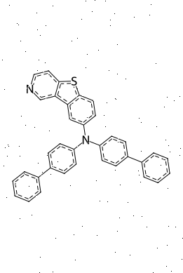 c1ccc(-c2ccc(N(c3ccc(-c4ccccc4)cc3)c3ccc4sc5ccncc5c4c3)cc2)cc1